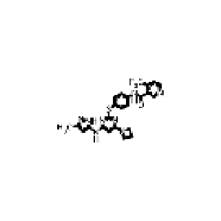 Cc1cc(Nc2cc(N3CCC3)nc(Sc3ccc(NC(=O)c4cnccc4C(F)(F)F)cc3)n2)[nH]n1